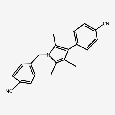 Cc1c(-c2ccc(C#N)cc2)c(C)n(Cc2ccc(C#N)cc2)c1C